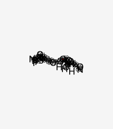 Cc1ncoc1-c1ccc([C@H](C)NC(=O)[C@@H]2C[C@@H](O)CN2C(=O)[C@@H](NC(=O)COCCCCOc2ccc(-c3ccc(N4C(=S)N(c5ccc(C#N)c(C(F)(F)F)c5)C(=O)C4(C)C)cc3)cc2)C(C)(C)C)cc1